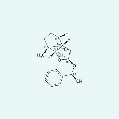 CC1(C)[C@@H]2CC[C@@]1(C)[C@H]1O[C@H](O[C@@H](C#N)c3ccccc3)C[C@@H]21